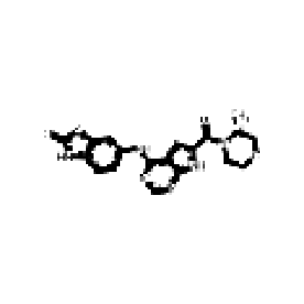 C[C@@H]1COCCN1C(=O)c1cc2c(Nc3ccc4[nH]c(=O)sc4c3)ncnc2[nH]1